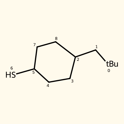 CC(C)(C)CC1CCC(S)CC1